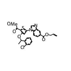 C=CCOC(=O)c1ccc2c(c1)ncn2-c1cc(OC(C)c2ccccc2Cl)c(C(=O)OC)s1